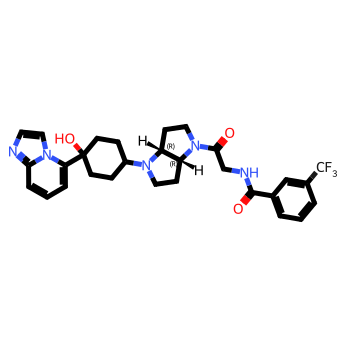 O=C(NCC(=O)N1CC[C@@H]2[C@H]1CCN2C1CCC(O)(c2cccc3nccn23)CC1)c1cccc(C(F)(F)F)c1